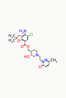 Cc1ccc(=O)n(CCN2CC[C@H](COC(=O)c3cc(Cl)c(N)c4c3OC(C)(C)C4)[C@@H](O)C2)n1